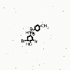 Cc1ccc(S(=O)(=O)Nc2cc(Br)c(O)c(Br)c2)cc1